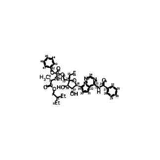 CCC(CC)COC(=O)[C@H](C)NP(=O)(OC[C@@]1(CF)O[C@@H](c2ccc3c(NC(=O)c4ccccc4)ncnn23)[C@H](O)[C@@H]1O)Oc1ccccc1